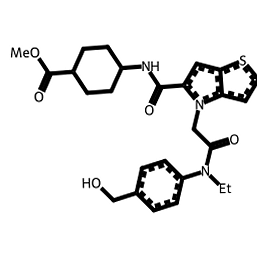 CCN(C(=O)Cn1c(C(=O)NC2CCC(C(=O)OC)CC2)cc2sccc21)c1ccc(CO)cc1